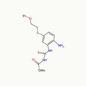 CCOCCSc1ccc(N)c(NC(=S)NC(=O)OC)c1